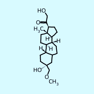 COC[C@@]1(O)CC[C@H]2C(CC[C@@H]3[C@@H]2CC[C@]2(C)[C@@H](C(=O)CO)CC[C@@H]32)C1